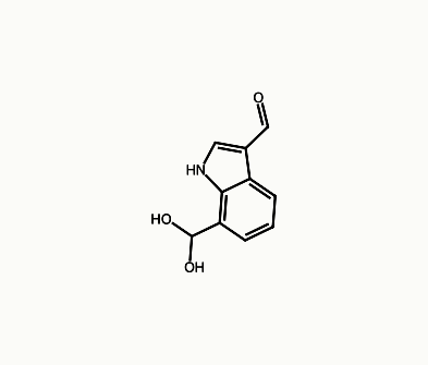 O=Cc1c[nH]c2c(C(O)O)cccc12